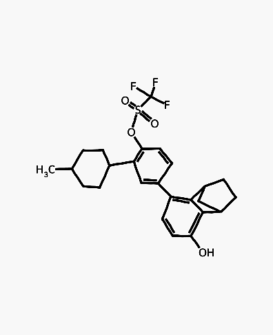 CC1CCC(c2cc(-c3ccc(O)c4c3C3CCC4C3)ccc2OS(=O)(=O)C(F)(F)F)CC1